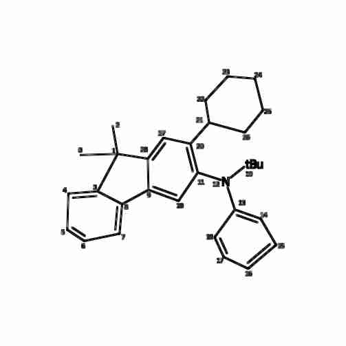 CC1(C)c2ccccc2-c2cc(N(c3ccccc3)C(C)(C)C)c(C3CCCCC3)cc21